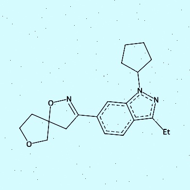 CCc1nn(C2CCCC2)c2cc(C3=NOC4(CCOC4)C3)ccc12